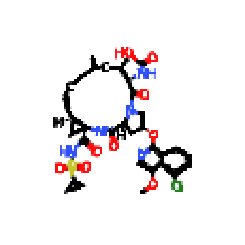 COc1cnc(O[C@@H]2C[C@H]3C(=O)N[C@]4(C(=O)NS(=O)(=O)C5CC5)C[C@H]4C=CCCC(C)C[C@@H](C)[C@H](NC(=O)O)C(=O)N3C2)c2cccc(Cl)c12